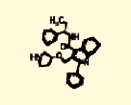 CC[C@H](NC(=O)c1c(CO[C@@H]2CCNC2)c(-c2ccccc2)nc2ccccc12)c1ccccc1